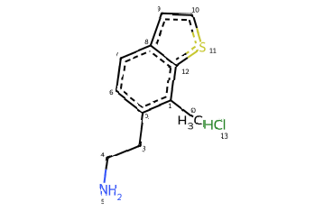 Cc1c(CCN)ccc2ccsc12.Cl